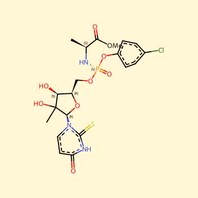 COC(=O)[C@H](C)N[P@](=O)(OC[C@H]1O[C@@H](n2ccc(=O)[nH]c2=S)C(C)(O)[C@H]1O)Oc1ccc(Cl)cc1